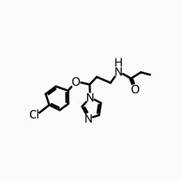 CCC(=O)NCCC(Oc1ccc(Cl)cc1)n1ccnc1